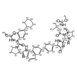 COC(=O)N[C@H](C(=O)N1[C@@H]2CC[C@@H](C2)[C@H]1c1nc(Cl)c(-c2ccc(-c3ccc4c(ccc5nc([C@@H]6CCCN6C(=O)[C@H](NC(=O)OC)c6ccc(C7CCCCC7)cc6)[nH]c54)c3)cc2)[nH]1)C(C)C